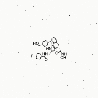 O=C(C[C@@H](Cc1cccc(-c2ccc(CO)cc2)c1)N1C=C(CNC(=O)c2ccc(F)cc2)NN1)NO